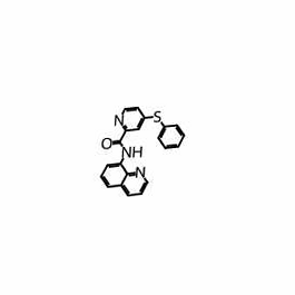 O=C(Nc1cccc2cccnc12)c1cc(Sc2ccccc2)ccn1